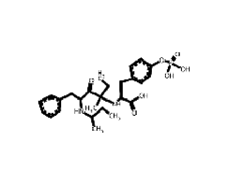 CCC(C)NC(Cc1ccccc1)C(=O)C(C)(CC)NC(Cc1ccc(OP(=O)(O)O)cc1)C(=O)O